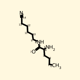 CCCCC(N)C(=O)NCCCCCC#N